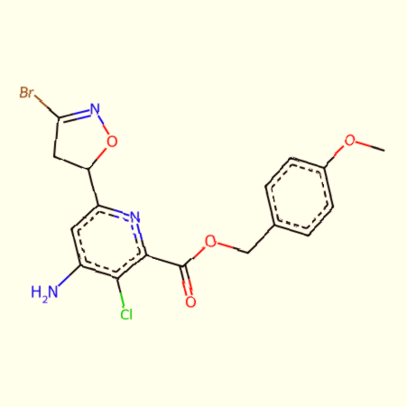 COc1ccc(COC(=O)c2nc(C3CC(Br)=NO3)cc(N)c2Cl)cc1